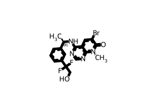 C[C@@H](Nc1ncnc2c1cc(Br)c(=O)n2C)c1cccc(C(F)(F)CO)c1